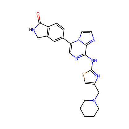 O=C1NCc2cc(-c3cnc(Nc4nc(CN5CCCCC5)cs4)c4nccn34)ccc21